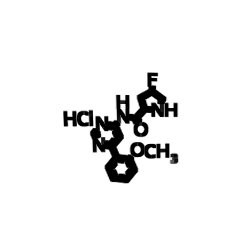 COc1ccccc1-c1cc(NC(=O)C2CC(F)CN2)ncn1.Cl